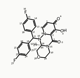 O=C1c2c(O)c(=O)ccn2N(C(c2ccc(F)cc2)c2ccc(F)cc2)[C@@H]2COCCN12